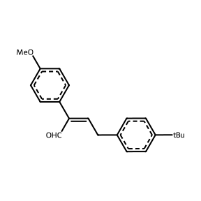 COc1ccc(C(C=O)=CCc2ccc(C(C)(C)C)cc2)cc1